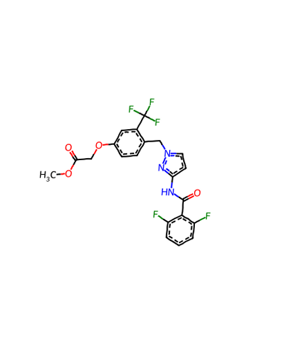 COC(=O)COc1ccc(Cn2ccc(NC(=O)c3c(F)cccc3F)n2)c(C(F)(F)F)c1